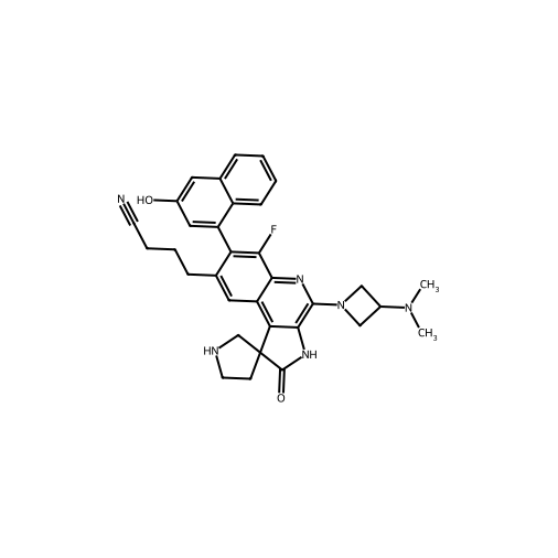 CN(C)C1CN(c2nc3c(F)c(-c4cc(O)cc5ccccc45)c(CCCC#N)cc3c3c2NC(=O)C32CCNC2)C1